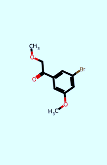 COCC(=O)c1cc(Br)cc(OC)c1